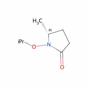 CC(C)ON1C(=O)CC[C@H]1C